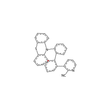 N#Cc1ncccc1-c1ccccc1-c1ccccc1N1c2ccccc2Sc2ccccc21